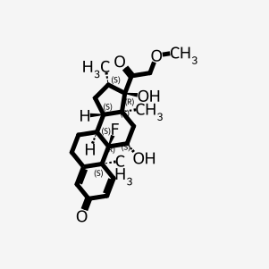 COCC(=O)[C@@]1(O)[C@@H](C)C[C@H]2[C@@H]3CCC4=CC(=O)C=C[C@]4(C)[C@@]3(F)[C@@H](O)C[C@@]21C